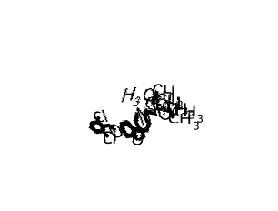 CC(C)(C)OP(=O)(CCN1CCC2(CC1)COc1cc(OCc3c(Cl)cccc3Cl)ccc12)OC(C)(C)C